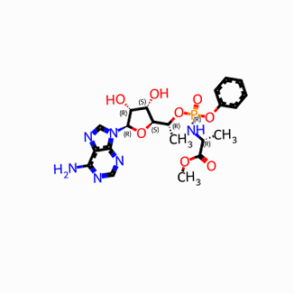 COC(=O)[C@@H](C)N[P@](=O)(Oc1ccccc1)O[C@H](C)[C@H]1O[C@@H](n2cnc3c(N)ncnc32)[C@H](O)[C@@H]1O